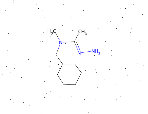 CC(=NN)N(C)CC1CCCCC1